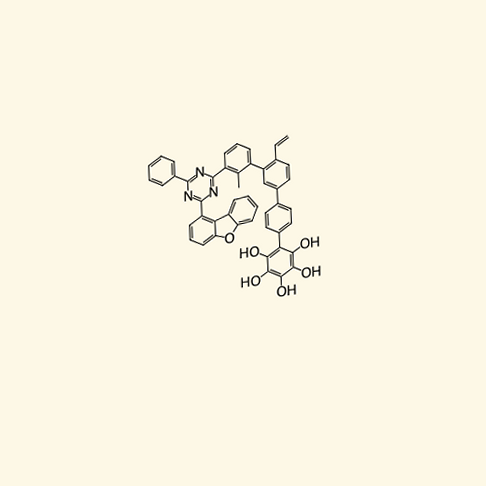 C=Cc1ccc(-c2ccc(-c3c(O)c(O)c(O)c(O)c3O)cc2)cc1-c1cccc(-c2nc(-c3ccccc3)nc(-c3cccc4oc5ccccc5c34)n2)c1C